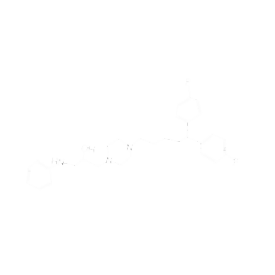 OC(CNc1ccccc1)CN1CCN(CCCCC(c2ccc(F)cc2)c2ccc(F)cc2)CC1